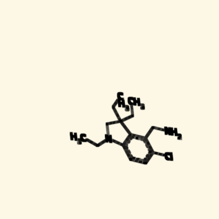 CCN1CC(CC)(CC)c2c1ccc(Cl)c2CN